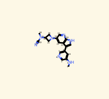 CNc1cncc(-c2c[nH]c3ncc(N4CC(N(C)C#N)C4)cc23)c1